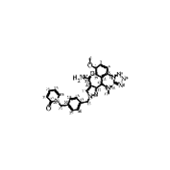 COc1ccc(-n2cnnn2)c(C(c2nn(Cc3ccc(Cn4ccccc4=O)cc3)cc2C(N)=O)N(C)C)c1